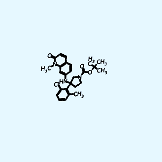 Cc1cccc(Cl)c1C1(Nc2ccc3ccc(=O)n(C)c3c2)CCN(C(=O)OC(C)(C)C)C1